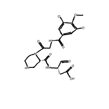 COc1c(Cl)cc(C(=O)NCC(=O)N2CCNC[C@H]2C(=O)N[C@H](C=O)CC(=O)O)cc1Cl